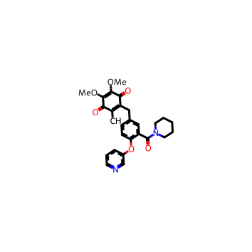 COC1=C(OC)C(=O)C(Cc2ccc(Oc3cccnc3)c(C(=O)N3CCCCC3)c2)=C(C)C1=O